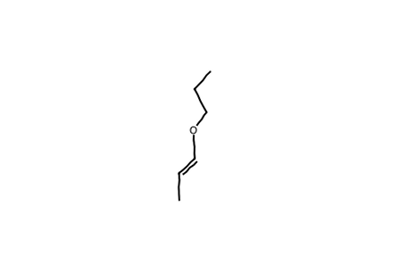 CC=COCCC